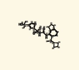 C[C@@H](c1ccc2c(c1NC(=O)NS(=O)(=O)c1cc(C(C)(C)O)co1)CCC2)C1CCC1